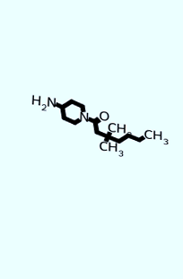 CCCCC(C)(C)CC(=O)N1CCC(N)CC1